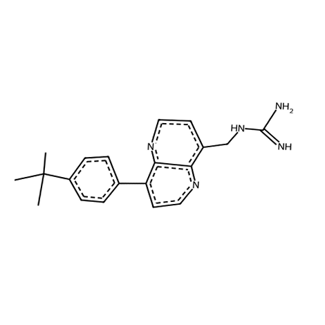 CC(C)(C)c1ccc(-c2ccnc3c(CNC(=N)N)ccnc23)cc1